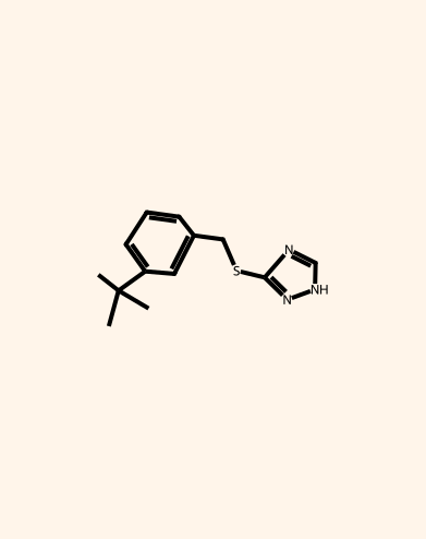 CC(C)(C)c1cccc(CSc2nc[nH]n2)c1